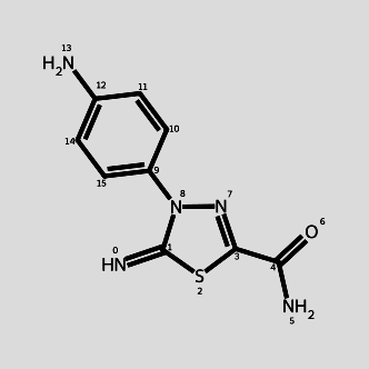 N=c1sc(C(N)=O)nn1-c1ccc(N)cc1